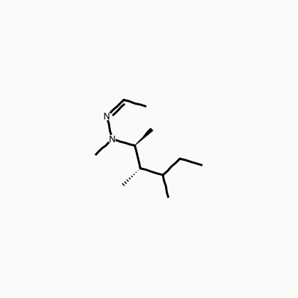 C/C=N\N(C)[C@@H](C)[C@@H](C)C(C)CC